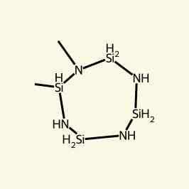 CN1[SiH2]N[SiH2]N[SiH2]N[SiH]1C